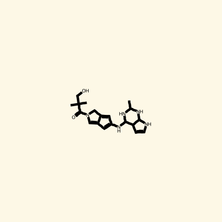 CC1NC2NC=CC2C(NC2=CC3=CN(C(=O)C(C)(C)CO)CC3=C2)N1